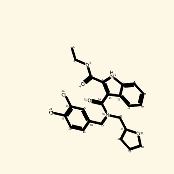 CCOC(=O)c1[nH]c2ccccc2c1C(=O)N(Cc1ccc(Cl)c(Cl)c1)CC1CCCO1